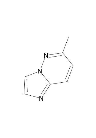 Cc1ccc2n[c]cn2n1